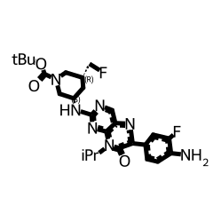 CC(C)n1c(=O)c(-c2ccc(N)c(F)c2)nc2cnc(N[C@H]3C[C@@H](CF)CN(C(=O)OC(C)(C)C)C3)nc21